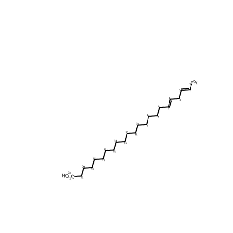 CCCC=CCC=CCCCCCCCCCCCCCCCCC(=O)O